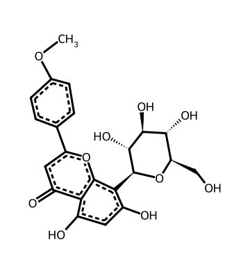 COc1ccc(-c2cc(=O)c3c(O)cc(O)c([C@@H]4O[C@H](CO)[C@@H](O)[C@H](O)[C@H]4O)c3o2)cc1